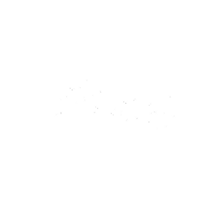 Cc1nc(C(C)O)sc1-c1csc(Nc2ccc(CN3CCCCC3=O)cn2)n1